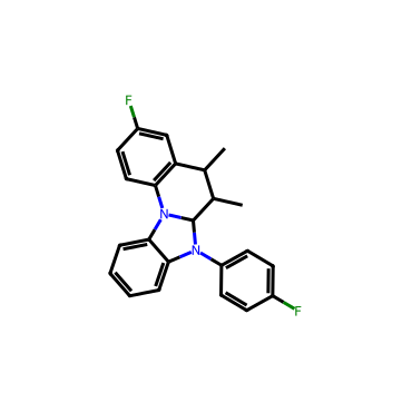 CC1c2cc(F)ccc2N2c3ccccc3N(c3ccc(F)cc3)C2C1C